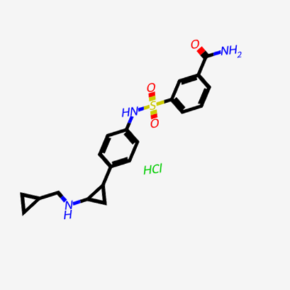 Cl.NC(=O)c1cccc(S(=O)(=O)Nc2ccc(C3CC3NCC3CC3)cc2)c1